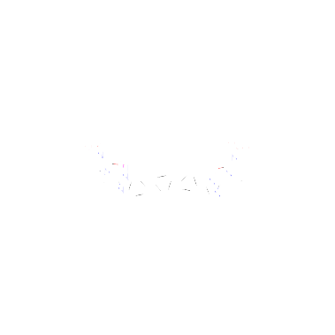 COC(=O)N[C@H](C(=O)N1CC2(CC2)C[C@H]1c1ncc(-c2ccc3c(c2)Cc2cc(-c4ccc5nc([C@@H]6[C@H]7CC[C@H](C7)N6C(=O)[C@@H](NC(=O)OC)C(C)C)[nH]c5c4)ccc2-3)[nH]1)C(C)C